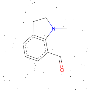 CN1CCc2cccc(C=O)c21